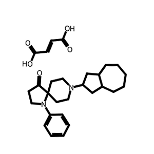 O=C(O)C=CC(=O)O.O=C1CCN(c2ccccc2)C12CCN(C1CC3CCCCCC3C1)CC2